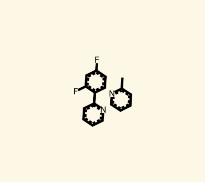 Cc1ccccn1.Fc1ccc(-c2ccccn2)c(F)c1